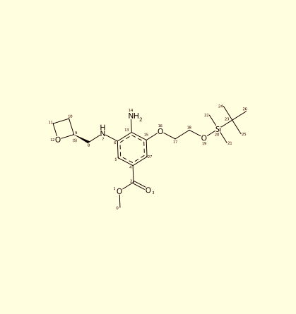 COC(=O)c1cc(NC[C@@H]2CCO2)c(N)c(OCCO[Si](C)(C)C(C)(C)C)c1